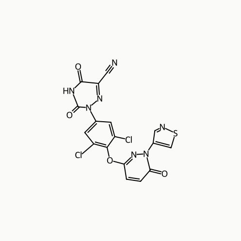 N#Cc1nn(-c2cc(Cl)c(Oc3ccc(=O)n(-c4cnsc4)n3)c(Cl)c2)c(=O)[nH]c1=O